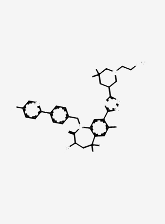 COCCN1CC(c2nnc(-c3cc4c(cc3F)C(F)(F)CC(N)C(=O)N4Cc3ccc(-c4ccc(C(F)(F)F)cn4)cc3)o2)CC(F)(F)C1